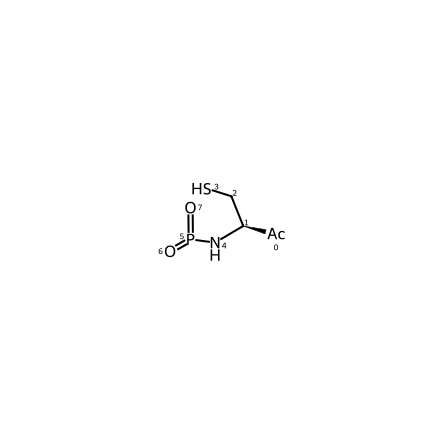 CC(=O)[C@H](CS)NP(=O)=O